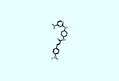 CN(C)c1ccnc(NC2CCC(NC(=O)/C=C/c3ccc([N+](=O)[O-])cc3)CC2)n1